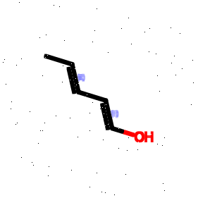 C/C=C/C=C/O